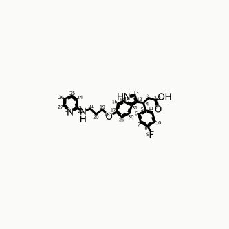 O=C(O)CC(c1ccc(F)cc1)c1c[nH]c2cc(OCCCNc3ccccn3)ccc12